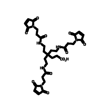 O=C(O)CCC(CCNC(=O)CCN1C(=O)C=CC1=O)(CCNC(=O)CCN1C(=O)C=CC1=O)CCNC(=O)CCN1C(=O)C=CC1=O